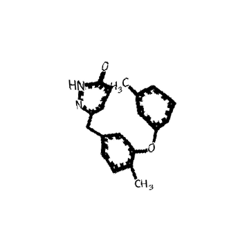 Cc1cccc(Oc2cc(Cc3ccc(=O)[nH]n3)ccc2C)c1